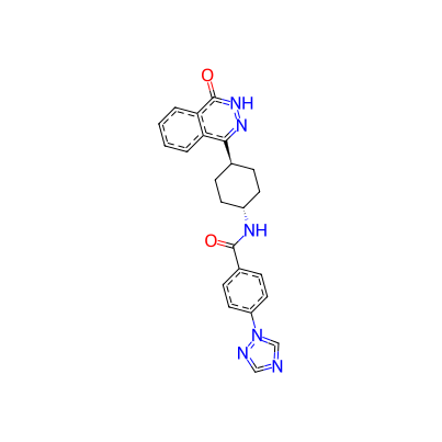 O=C(N[C@H]1CC[C@H](c2n[nH]c(=O)c3ccccc32)CC1)c1ccc(-n2cncn2)cc1